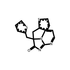 O=C1N=C2N=CC=CN2C1(Cc1cccs1)Cc1cccs1